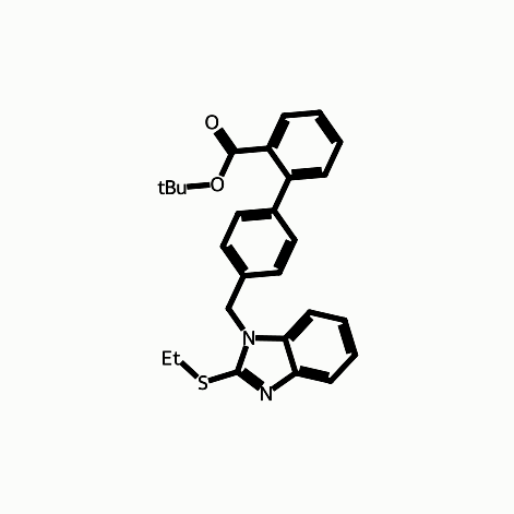 CCSc1nc2ccccc2n1Cc1ccc(-c2ccccc2C(=O)OC(C)(C)C)cc1